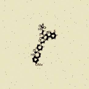 COc1ccc2c(c1)CCN(C1CCN(C(=O)Cn3cc(-c4cccc(F)c4Cl)c(=O)n([C@@H](C)CNS(C)(=O)=O)c3=O)CC1)C(=O)N2